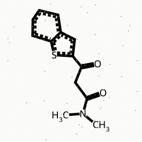 CN(C)C(=O)CC(=O)c1cc2ccccc2s1